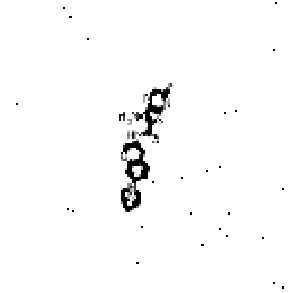 Nc1c(C(=O)N[C@H]2COc3cc(N4CC5CC(C4)N5)ccc3C2)sc2nc(F)cnc12